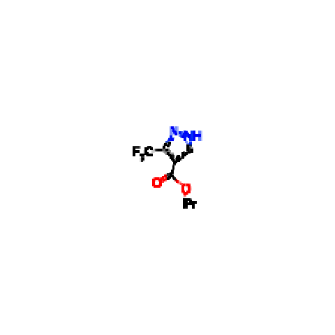 CC(C)OC(=O)c1c[nH]nc1C(F)(F)F